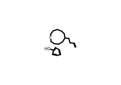 C=CCCC1CCCCCCCCCC1.Oc1ccccc1